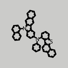 c1ccc(N(c2ccc3c(c2)c2cc4ccccc4cc2n3-c2cccc3ccccc23)c2cccc3sc4c5ccccc5ccc4c23)cc1